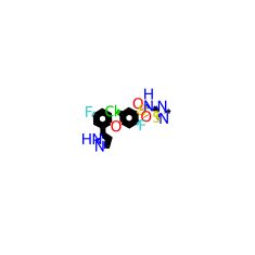 O=S(=O)(Nc1ncns1)c1cc(Cl)c(Oc2ccc(F)cc2-c2ccn[nH]2)cc1F